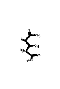 [2H]C(C(N)=O)C([2H])[C@H](N)C(=O)O